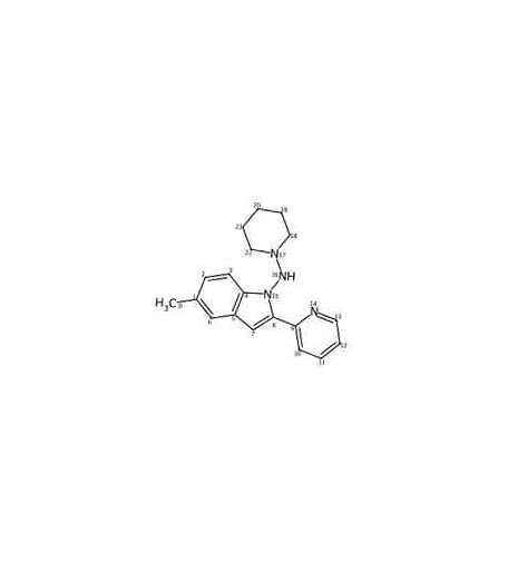 Cc1ccc2c(c1)cc(-c1ccccn1)n2NN1CCCCC1